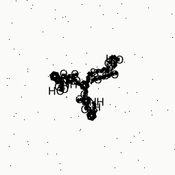 COCCOCCOCCN(CC(C)(C)SSCCCC(=O)NCCN1C(=O)C=CC1=O)c1cc(COc2cc3c(cc2OC)C(=O)N2c4ccccc4CC2C(S(=O)(=O)O)N3)cc(COc2cc3c(cc2OC)C(=O)N2c4ccccc4C[C@H]2CN3)c1